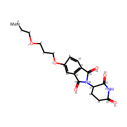 CNCCOCCCOc1ccc2c(c1)C(=O)N(C1CCC(=O)NC1=O)C2=O